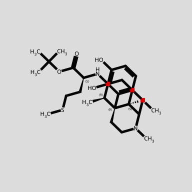 CO[C@@]12CCC(N[C@@H](CCSC)C(=O)OC(C)(C)C)[C@H](C)[C@@]13CCN(C)C2Cc1ccc(O)c(O)c13